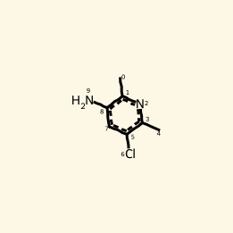 Cc1nc(C)c(Cl)cc1N